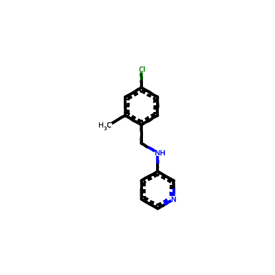 Cc1cc(Cl)ccc1CNc1cccnc1